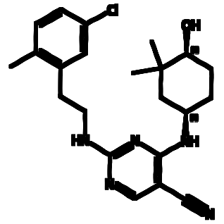 Cc1ccc(Cl)cc1CCNc1ncc(C#N)c(N[C@@H]2CC[C@H](O)C(C)(C)C2)n1